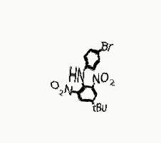 CC(C)(C)c1cc([N+](=O)[O-])c(Nc2ccc(Br)cc2)c([N+](=O)[O-])c1